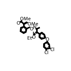 CCON=C(C(C)=NOCc1ccccc1C(=COC)C(=O)OC)c1ccc(Oc2ccc(Cl)c(Cl)c2)cc1